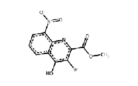 COC(=O)c1nc2c([N+](=O)[O-])cccc2c(O)c1Br